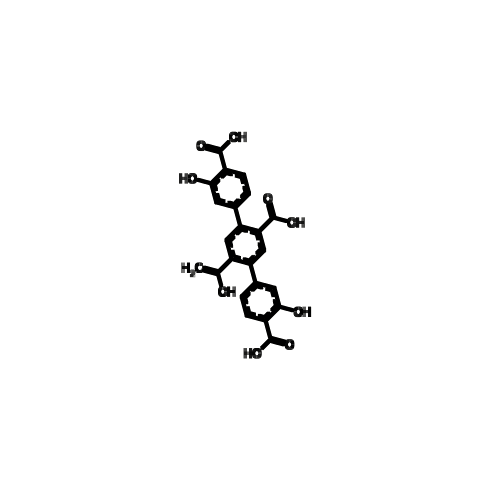 C=C(O)c1cc(-c2ccc(C(=O)O)c(O)c2)c(C(=O)O)cc1-c1ccc(C(=O)O)c(O)c1